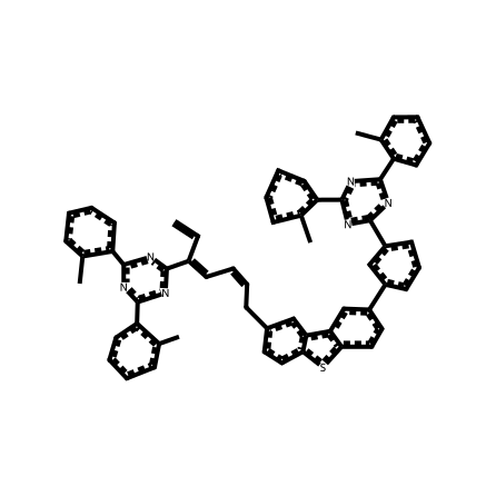 C=C/C(=C\C=C/Cc1ccc2sc3ccc(-c4cccc(-c5nc(-c6ccccc6C)nc(-c6ccccc6C)n5)c4)cc3c2c1)c1nc(-c2ccccc2C)nc(-c2ccccc2C)n1